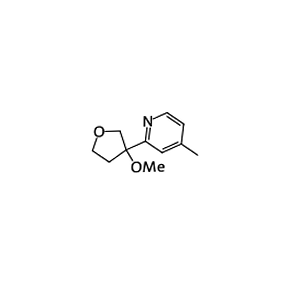 COC1(c2cc(C)ccn2)CCOC1